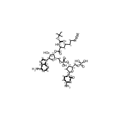 CC(C)(C)OC(=O)NC(CCCCN=[N+]=[N-])C(=O)O[C@H]1[C@@H](O)[C@H](n2cnc3c(N)ncnc32)O[C@@H]1COP(=O)(O)O[C@H]1C[C@H](n2ccc(N)nc2=O)O[C@@H]1COP(=O)(O)O